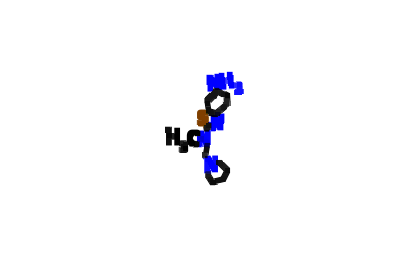 CN(CCN1CCCCC1)c1nc2ccc(N)cc2s1